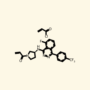 C=CC(=O)Cl.C=CC(=O)N1CC[C@H](Nc2nnc(-c3ccc(C(F)(F)F)cc3)c3cccc(F)c23)C1